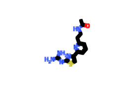 CC(=O)NCCc1cccc(-c2csc(N=C(N)N)n2)n1